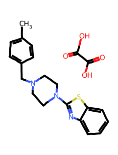 Cc1ccc(CN2CCN(c3nc4ccccc4s3)CC2)cc1.O=C(O)C(=O)O